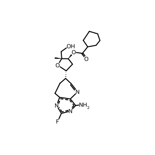 C[C@]1(CO)O[C@@H](C2C=Nc3c(N)nc(F)nc3CC2)C[C@@H]1OC(=O)C1CCCCC1